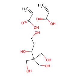 C=CC(=O)O.C=CC(=O)O.OCCC(O)C(CO)(CO)CO